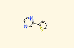 [c]1cnc(-c2cccs2)cn1